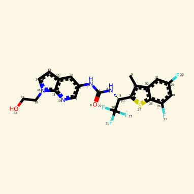 Cc1c([C@@H](NC(=O)Nc2cnc3c(ccn3CCO)c2)C(F)(F)F)sc2c(F)cc(F)cc12